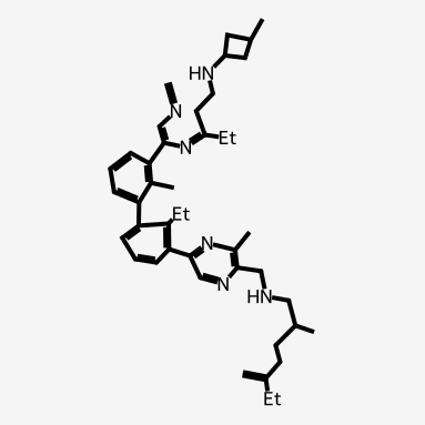 C=N/C=C(\N=C(\CC)CCNC1CC(C)C1)c1cccc(-c2cccc(-c3cnc(CNCC(C)CCC(=C)CC)c(C)n3)c2CC)c1C